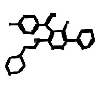 N=C(c1ccc(F)cc1)c1c(NCCN2CCOCC2)nnc(-c2ccccc2)c1Cl